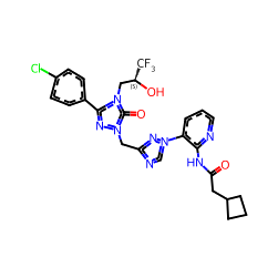 O=C(CC1CCC1)Nc1ncccc1-n1cnc(Cn2nc(-c3ccc(Cl)cc3)n(C[C@H](O)C(F)(F)F)c2=O)n1